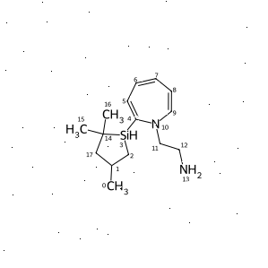 CC1C[SiH](C2=CC=CC=CN2CCN)C(C)(C)C1